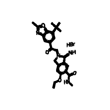 Br.CCOc1cc2c(cc1C(=O)NC)C(=N)N(CC(=O)c1cc(C(C)(C)C)c3oc(C)nc3c1)C2